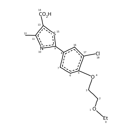 CCOCCOc1ccc(-c2nc(C)c(C(=O)O)s2)cc1Cl